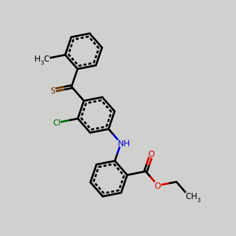 CCOC(=O)c1ccccc1Nc1ccc(C(=S)c2ccccc2C)c(Cl)c1